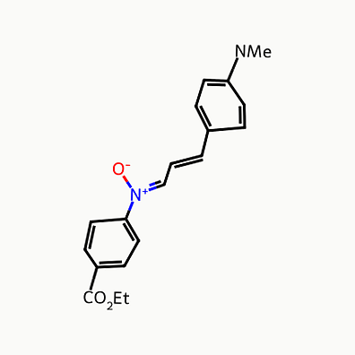 CCOC(=O)c1ccc([N+]([O-])=CC=Cc2ccc(NC)cc2)cc1